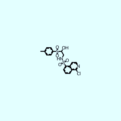 Cc1ccc(S(=O)(=O)C(O)CNS(=O)(=O)c2cccc3c(Cl)nccc23)cc1